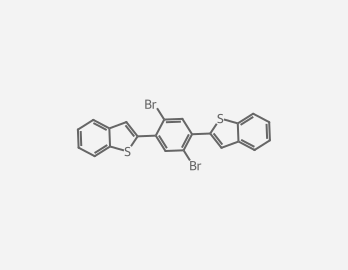 Brc1cc(-c2cc3ccccc3s2)c(Br)cc1-c1cc2ccccc2s1